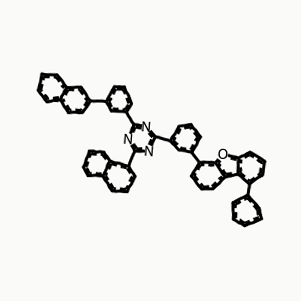 c1ccc(-c2cccc3oc4c(-c5cccc(-c6nc(-c7cccc(-c8ccc9ccccc9c8)c7)nc(-c7cccc8ccccc78)n6)c5)cccc4c23)cc1